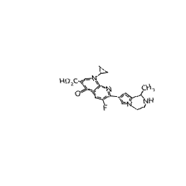 CC1NCCn2cc(-c3nc4c(cc3F)c(=O)c(C(=O)O)cn4C3CC3)cc21